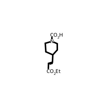 CCOC(=O)C=CC1CCN(C(=O)O)CC1